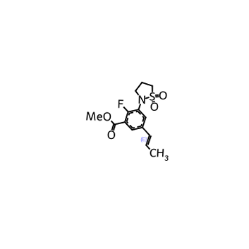 C/C=C/c1cc(C(=O)OC)c(F)c(N2CCCS2(=O)=O)c1